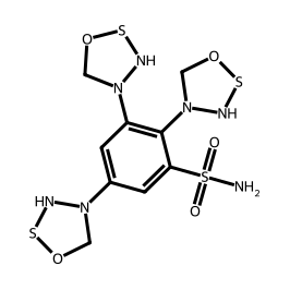 NS(=O)(=O)c1cc(N2COSN2)cc(N2COSN2)c1N1COSN1